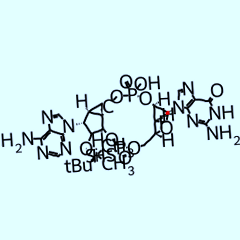 CC(C)(C)[Si](C)(C)OC1[C@H](n2cnc3c(N)ncnc32)[C@H]2C[C@]23COP(=O)(O)O[C@@H]2[C@H](F)[C@@H](COP(=O)(S)O[C@@H]13)O[C@H]2n1cnc2c(=O)[nH]c(N)nc21